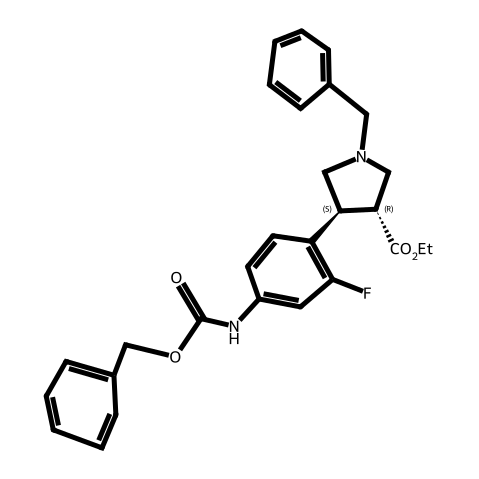 CCOC(=O)[C@H]1CN(Cc2ccccc2)C[C@@H]1c1ccc(NC(=O)OCc2ccccc2)cc1F